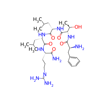 CC(C)C[C@H](NC(=O)[C@H](CC(C)C)NC(=O)[C@@H](NC(=O)[C@@H](N)Cc1ccccc1)[C@@H](C)O)C(=O)N[C@@H](CCCN=C(N)N)C(N)=O